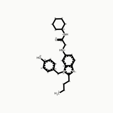 CCCCc1nc2ccc(NCC(=O)NC3CCCCC3)cc2n1Cc1ccc(O)cc1